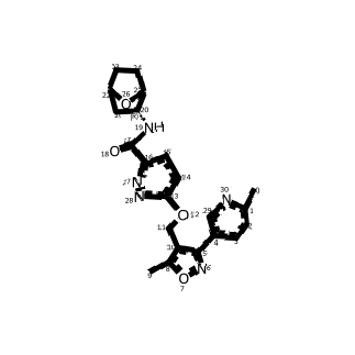 Cc1ccc(-c2noc(C)c2COc2ccc(C(=O)N[C@@H]3CC4CCC3O4)nn2)cn1